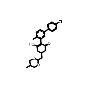 Cc1ccc(-c2ccc(Cl)cc2)cc1C1=C(O)CC(CC2OCC(C)CO2)CC1=O